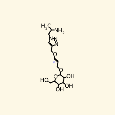 CC(N)Cn1cc(CO/C=C/COC2OC(CO)C(O)C(O)C2O)nn1